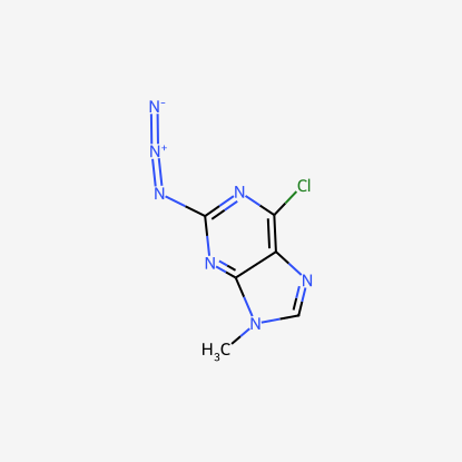 Cn1cnc2c(Cl)nc(N=[N+]=[N-])nc21